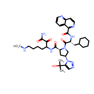 CC(C)(O)c1cnnn1[C@H]1C[C@@H](C(=O)NC(CCCCNC(=O)O)C(=O)C(N)=O)N(C(=O)[C@@H](CC2CCCCC2)NC(=O)c2nccc3ncccc23)C1